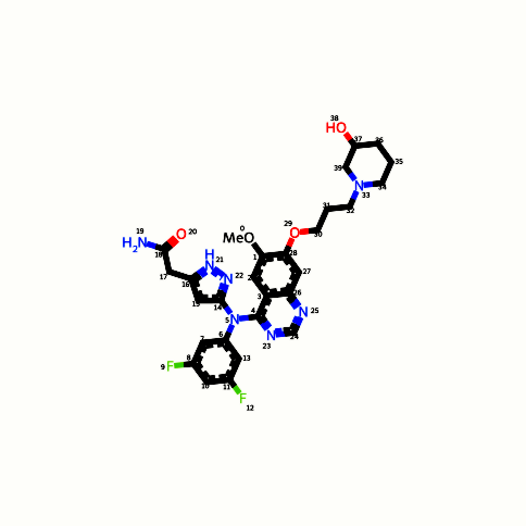 COc1cc2c(N(c3cc(F)cc(F)c3)c3cc(CC(N)=O)[nH]n3)ncnc2cc1OCCCN1CCCC(O)C1